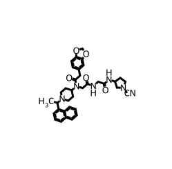 CC(c1cccc2ccccc12)N1CCC(N(CC(=O)NCC(=O)NC2CCN(C#N)C2)C(=O)Cc2ccc3c(c2)OCO3)CC1